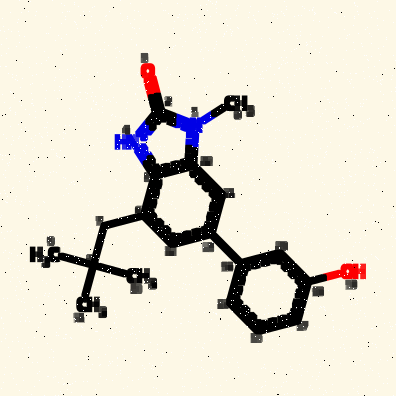 Cn1c(=O)[nH]c2c(CC(C)(C)C)cc(-c3cccc(O)c3)cc21